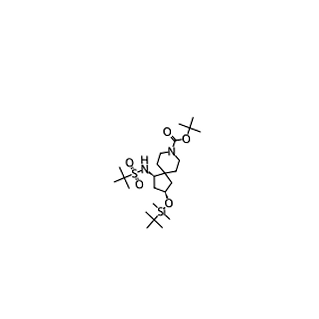 CC(C)(C)OC(=O)N1CCC2(CC1)C[C@@H](O[Si](C)(C)C(C)(C)C)C[C@H]2NS(=O)(=O)C(C)(C)C